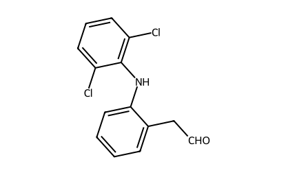 O=CCc1ccccc1Nc1c(Cl)cccc1Cl